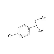 CC(=O)CC(C(C)=O)c1ccc(Cl)cc1